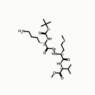 COC(=O)[C@@H](NC(=O)[C@H](CCSC)N[Se]C(=O)[C@H](CCCCN)NC(=O)OC(C)(C)C)C(C)C